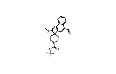 COC(=O)C1(c2cc(C=O)c3ccccc3c2)CCN(C(=O)OC(C)(C)C)CC1